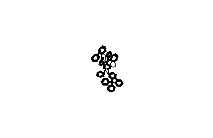 c1ccc(N(c2ccc3c(c2)Oc2ccccc2C32c3ccccc3[Si](c3ccccc3)(c3ccccc3)c3ccccc32)c2ccc3c(c2)C(c2ccccc2)(c2ccccc2)c2ccccc2-3)cc1